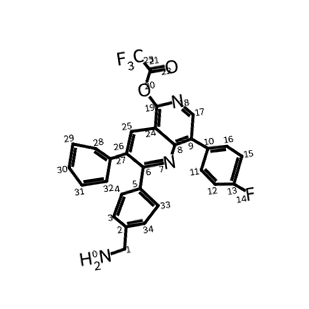 NCc1ccc(-c2nc3c(-c4ccc(F)cc4)cnc(OC(=O)C(F)(F)F)c3cc2-c2ccccc2)cc1